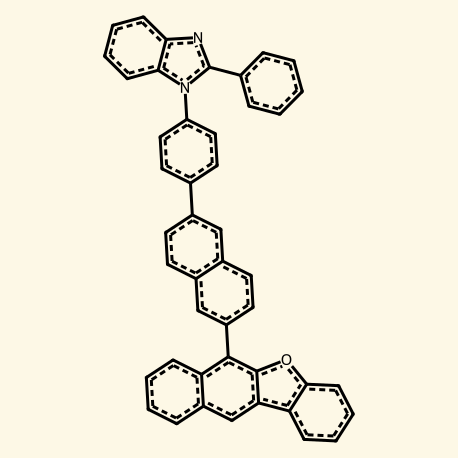 c1ccc(-c2nc3ccccc3n2-c2ccc(-c3ccc4cc(-c5c6ccccc6cc6c5oc5ccccc56)ccc4c3)cc2)cc1